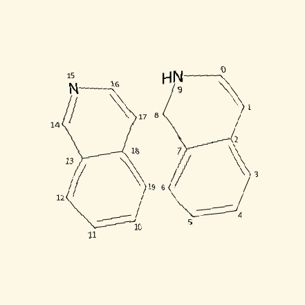 C1=Cc2ccccc2CN1.c1ccc2cnccc2c1